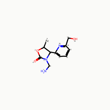 CC(=O)C1OC(=O)N(CN)C1c1cccc(CO)n1